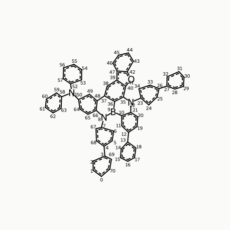 c1ccc(-c2ccc(N3B4c5cc(-c6ccccc6)ccc5N(c5ccc(-c6ccccc6)cc5)c5c4c(cc4c5oc5ccccc54)-c4cc(N(c5ccccc5)c5ccccc5)ccc43)cc2)cc1